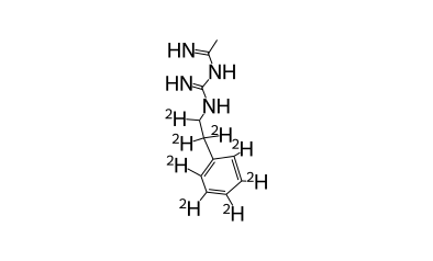 [2H]c1c([2H])c([2H])c(C([2H])([2H])C([2H])NC(=N)NC(C)=N)c([2H])c1[2H]